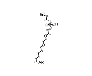 CCCCCCCCCCCCCCCOCCOCCOP(=O)(O)OCCBr